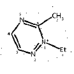 CC[n+]1nccnc1C